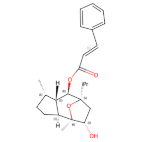 CC(C)[C@]12C[C@H](O)[C@](C)(O1)[C@H]1CC[C@H](C)[C@@H]1[C@H]2OC(=O)/C=C/c1ccccc1